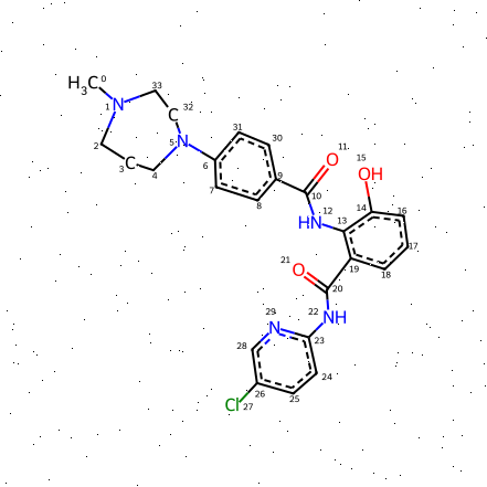 CN1CCCN(c2ccc(C(=O)Nc3c(O)cccc3C(=O)Nc3ccc(Cl)cn3)cc2)CC1